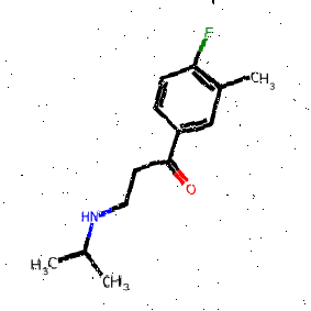 Cc1cc(C(=O)CCNC(C)C)ccc1F